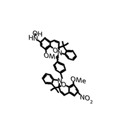 COc1cc(NO)cc2c1OC1(C=C2)N(Cc2ccc(CN3c4ccccc4C(C)(C)C34C=Cc3cc([N+](=O)[O-])cc(OC)c3O4)cc2)c2ccccc2C1(C)C